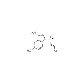 CC(=O)/C=C/C1(n2cc([N+](=O)[O-])c3cc(C)ccc32)CC1